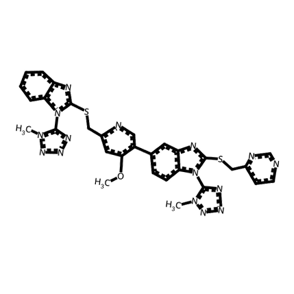 COc1cc(CSc2nc3ccccc3n2-c2nnnn2C)ncc1-c1ccc2c(c1)nc(SCc1ccncn1)n2-c1nnnn1C